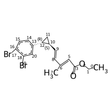 CCOC(=O)C=C(C)C=C[C@@H]1C[C@H]1c1ccc(Br)c(Br)c1